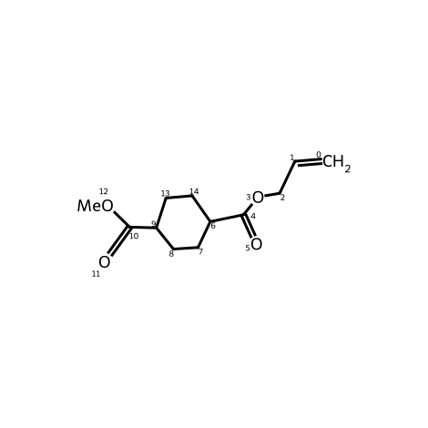 C=CCOC(=O)C1CCC(C(=O)OC)CC1